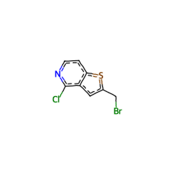 Clc1nccc2sc(CBr)cc12